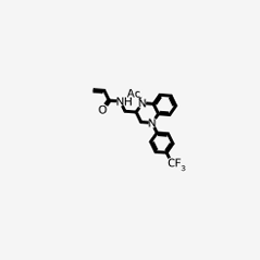 C=CC(=O)NCC1CN(c2ccc(C(F)(F)F)cc2)c2ccccc2N1C(C)=O